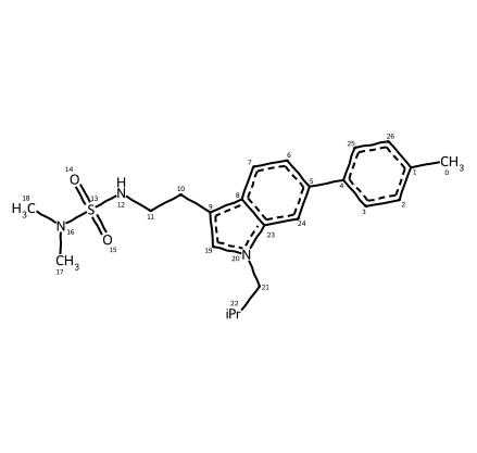 Cc1ccc(-c2ccc3c(CCNS(=O)(=O)N(C)C)cn(CC(C)C)c3c2)cc1